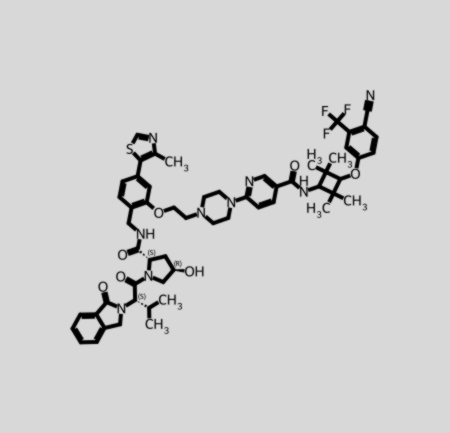 Cc1ncsc1-c1ccc(CNC(=O)[C@@H]2C[C@@H](O)CN2C(=O)[C@H](C(C)C)N2Cc3ccccc3C2=O)c(OCCN2CCN(c3ccc(C(=O)NC4C(C)(C)C(Oc5ccc(C#N)c(C(F)(F)F)c5)C4(C)C)cn3)CC2)c1